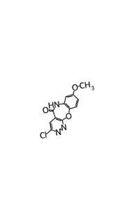 COc1ccc2c(c1)NC(=O)c1cc(Cl)nnc1O2